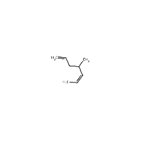 C=CCC(C)/C=C\C